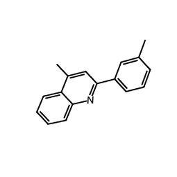 Cc1cccc(-c2cc(C)c3ccccc3n2)c1